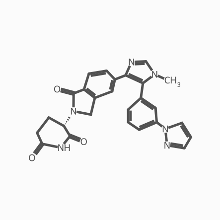 Cn1cnc(-c2ccc3c(c2)CN([C@H]2CCC(=O)NC2=O)C3=O)c1-c1cccc(-n2cccn2)c1